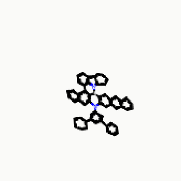 c1ccc(-c2cc(-c3ccccc3)cc(N3c4cc5cc6ccccc6cc5cc4B4c5c3cc3ccccc3c5-c3cccc5c6ccccc6n4c35)c2)cc1